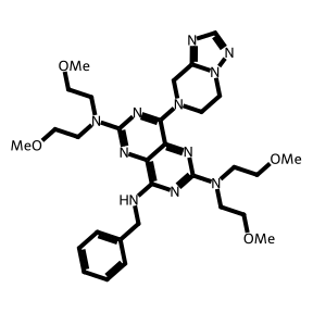 COCCN(CCOC)c1nc(N2CCn3ncnc3C2)c2nc(N(CCOC)CCOC)nc(NCc3ccccc3)c2n1